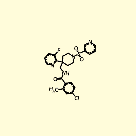 Cc1cc(Cl)ccc1C(=O)NCC1(c2ncccc2F)CCN(S(=O)(=O)c2cccnc2)CC1